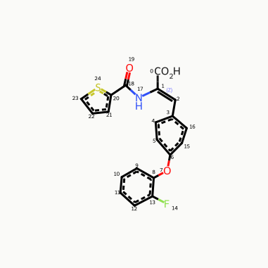 O=C(O)/C(=C/c1ccc(Oc2ccccc2F)cc1)NC(=O)c1cccs1